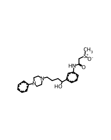 C[S+]([O-])CC(=O)Nc1cccc(C(O)CCCN2CCN(c3ccccc3)CC2)c1